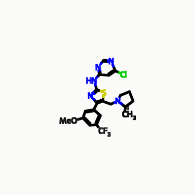 COc1cc(-c2nc(Nc3cc(Cl)ncn3)sc2CN2CCC[C@H]2C)cc(C(F)(F)F)c1